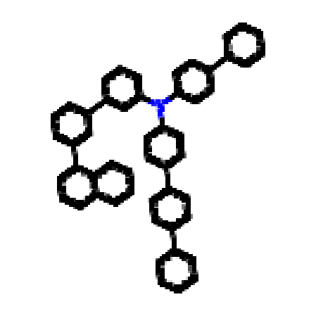 c1ccc(-c2ccc(-c3ccc(N(c4ccc(-c5ccccc5)cc4)c4cccc(-c5cccc(-c6cccc7ccccc67)c5)c4)cc3)cc2)cc1